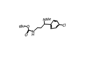 CNC(CCNC(=O)OC(C)(C)C)c1ccc(Cl)cc1